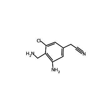 N#CCc1cc(N)c(CN)c(Cl)c1